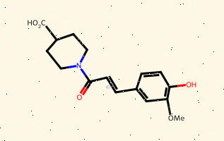 COc1cc(/C=C/C(=O)N2CCC(C(=O)O)CC2)ccc1O